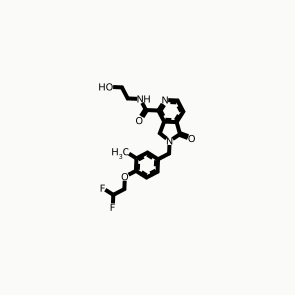 Cc1cc(CN2Cc3c(ccnc3C(=O)NCCO)C2=O)ccc1OCC(F)F